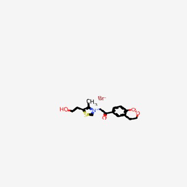 Cc1c(CCO)sc[n+]1CC(=O)c1ccc2c(c1)CCOO2.[Br-]